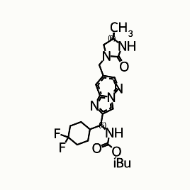 CCC(C)OC(=O)N[C@H](c1cn2ncc(CN3C[C@@H](C)NC3=O)cc2n1)C1CCC(F)(F)CC1